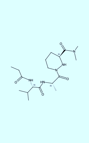 CCC(=O)N[C@H](C(=O)N[C@@H](C)C(=O)N1CCC[C@@H](C(=O)N(C)C)N1)C(C)C